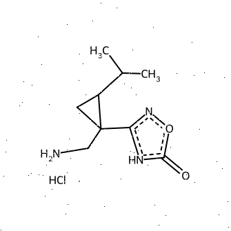 CC(C)C1CC1(CN)c1noc(=O)[nH]1.Cl